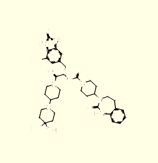 Cc1cc(C[C@@H](OC(=O)N2CCC(N3CCc4ccccc4NC3=O)CC2)C(=O)N2CCC(N3CCC(C)(C)CC3)CC2)cc2[nH]c(=O)[nH]c12